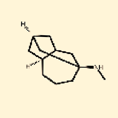 CN[C@]12CCC[C@H]3C[C@@H](CC3C1)C2